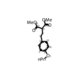 CCCOc1ccc(CCC(C(=O)OC)C(=O)OC)cc1